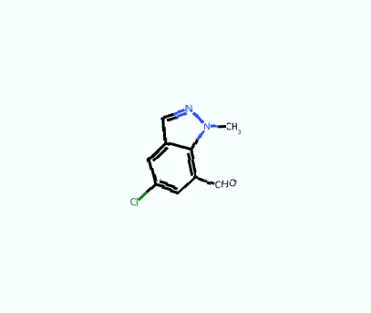 Cn1ncc2cc(Cl)cc(C=O)c21